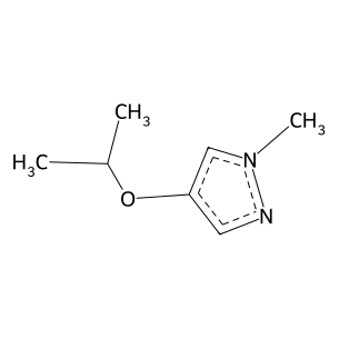 CC(C)Oc1cnn(C)c1